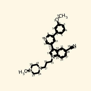 COc1cccc(-c2cncc(-c3cn(CCCN4CCN(C)CC4)c4ccc(C#N)cc34)c2)c1